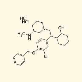 CN[C@@H]1CCCN(CC(c2ccc(OCc3ccccc3)c(Cl)c2)C2CCCCC2O)C1.Cl.Cl